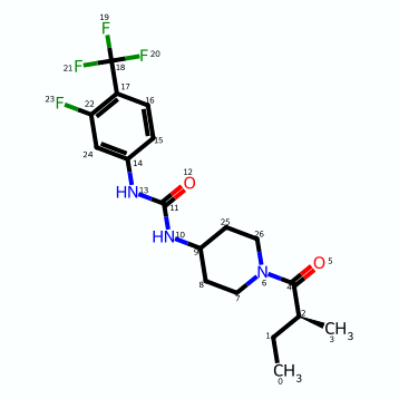 CC[C@H](C)C(=O)N1CCC(NC(=O)Nc2ccc(C(F)(F)F)c(F)c2)CC1